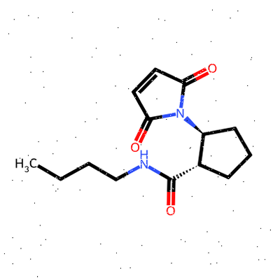 CCCCNC(=O)[C@H]1CCC[C@@H]1N1C(=O)C=CC1=O